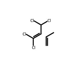 C=CC.ClC(Cl)=CC(Cl)Cl